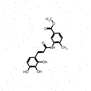 COC(=O)c1ccc(C)c(NC(=O)C=Cc2ccc(O)c(O)c2O)c1